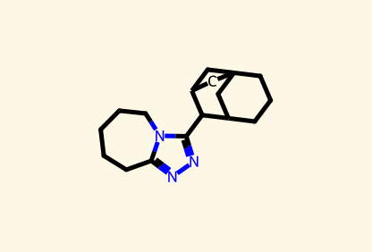 C1CCc2nnc(C3C4CCCC5(C4)CC3C5)n2CC1